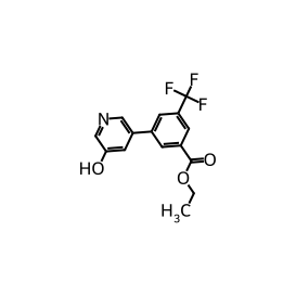 CCOC(=O)c1cc(-c2cncc(O)c2)cc(C(F)(F)F)c1